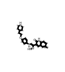 N=N/C(=C\Nc1ccc(OCCC2CCNCC2)cc1)c1cc2cc(F)ccc2[nH]c1=O